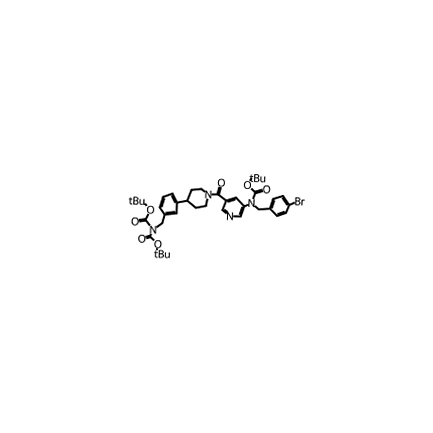 CC(C)(C)OC(=O)N(Cc1cccc(C2CCN(C(=O)c3cncc(N(Cc4ccc(Br)cc4)C(=O)OC(C)(C)C)c3)CC2)c1)C(=O)OC(C)(C)C